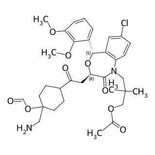 COc1cccc([C@H]2O[C@H](CC(=O)C3CCC(CN)(OC=O)CC3)C(=O)N(CC(C)(C)COC(C)=O)c3ccc(Cl)cc32)c1OC